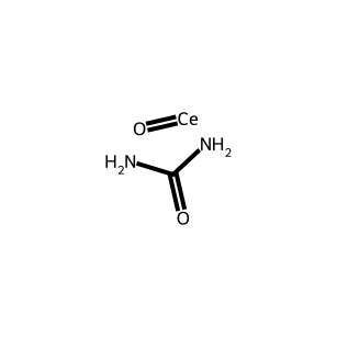 NC(N)=O.[O]=[Ce]